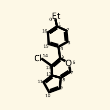 CCc1ccc(-c2occ3cccc-3c2Cl)cc1